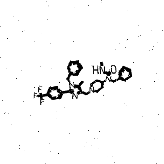 CNC(=O)N(Cc1ccccc1)C1CCN(Cc2nc(-c3ccc(C(F)(F)F)cc3)n(Cc3ccccc3)c2C)CC1